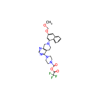 COCOc1cc(N2CCc3c(ncnc3N3CCN(C(=O)OC(=O)C(F)(F)F)CC3)C2)c2ccccc2c1